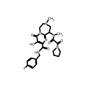 CN1CCn2c(nc(C(=O)NCc3ccc(F)cc3)c(O)c2=O)C(N(C)C(=O)C(=O)N2CCCC2)C1